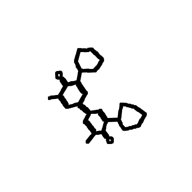 CC1=C/C(=C2\C=C(C)C(=O)C(C3CCCCC3)=C2)C=C(C2CCCCC2)C1=O